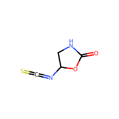 O=C1NCC(N=C=S)O1